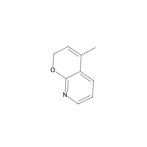 CC1=CCOc2ncccc21